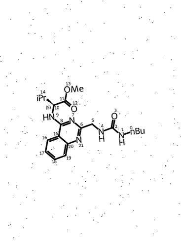 CCCCNC(=O)NCc1nc(N[C@H](C(=O)OC)C(C)C)c2ccccc2n1